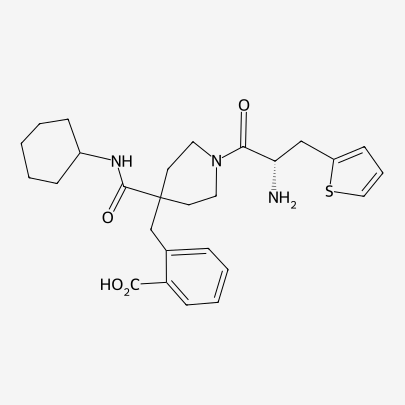 N[C@@H](Cc1cccs1)C(=O)N1CCC(Cc2ccccc2C(=O)O)(C(=O)NC2CCCCC2)CC1